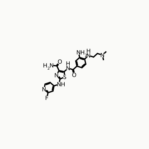 CN(C)CCNc1ccc(C(=O)Nc2sc(Nc3ccnc(F)c3)nc2C(N)=O)cc1N